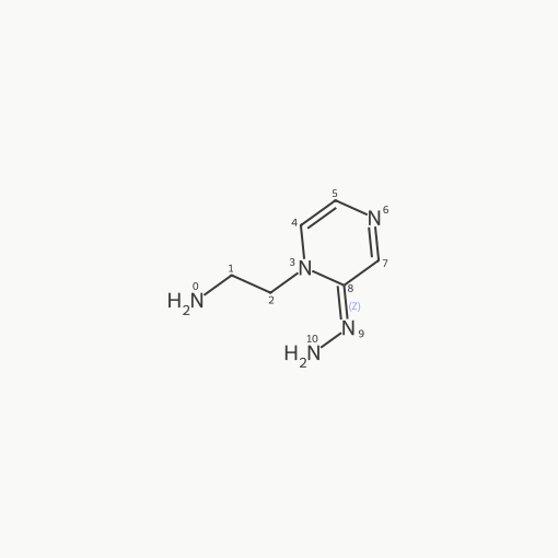 NCCn1ccnc/c1=N/N